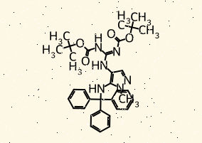 Cn1ncc(NC(=NC(=O)OC(C)(C)C)NC(=O)OC(C)(C)C)c1NC(c1ccccc1)(c1ccccc1)c1ccccc1